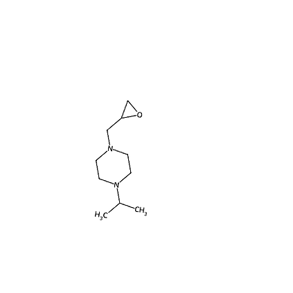 CC(C)N1CCN(CC2CO2)CC1